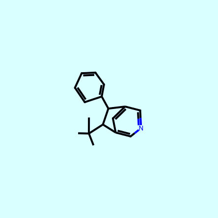 CC(C)(C)C1c2cncc(c2)C1c1ccccc1